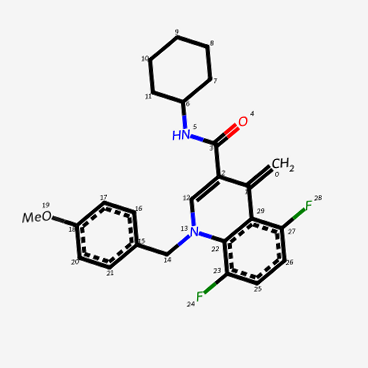 C=C1C(C(=O)NC2CCCCC2)=CN(Cc2ccc(OC)cc2)c2c(F)ccc(F)c21